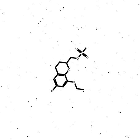 CCSc1cc(F)cc2c1OC(COS(C)(=O)=O)CC2